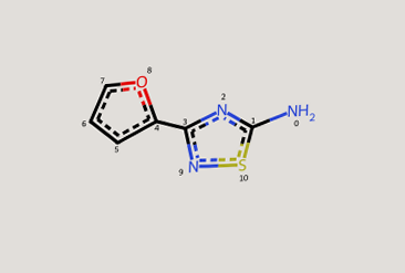 Nc1nc(-c2ccco2)ns1